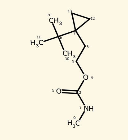 CNC(=O)OCCC1(C(C)(C)C)CC1